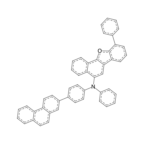 c1ccc(-c2cccc3c2oc2c4ccccc4c(N(c4ccccc4)c4ccc(-c5ccc6c(ccc7ccccc76)c5)cc4)cc32)cc1